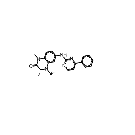 CC(C)N1c2cc(Nc3nccc(-c4ccccc4)n3)ccc2N(C)C(=O)[C@H]1C